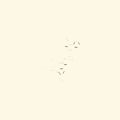 COc1ccc(C(=O)N(C[C@@H]2CNC[C@H]2CNC(=O)C(c2ccccc2)C2CC2)C(C)C)cc1OCCCO